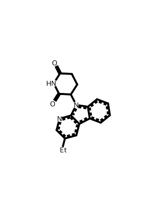 CCc1cnc2c(c1)c1ccccc1n2C1CCC(=O)NC1=O